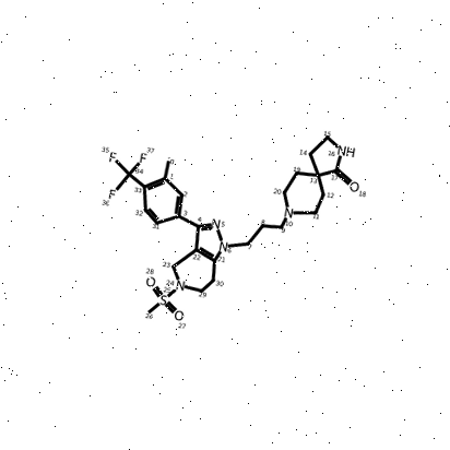 [CH2]c1cc(-c2nn(CCCN3CCC4(CCNC4=O)CC3)c3c2CN(S(C)(=O)=O)CC3)ccc1C(F)(F)F